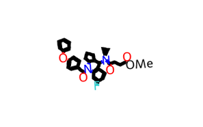 COC(=O)CCC(=O)N(C1CC1)C1c2ccc(F)cc2N(C(=O)c2ccc(Oc3ccccc3)cc2)C2CCCC21